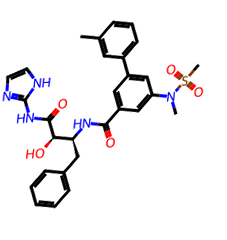 Cc1cccc(-c2cc(C(=O)N[C@@H](Cc3ccccc3)[C@@H](O)C(=O)Nc3ncc[nH]3)cc(N(C)S(C)(=O)=O)c2)c1